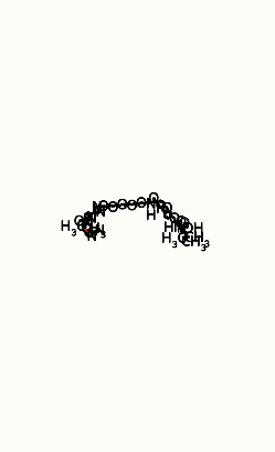 CC(C)(C)CC[C@H](NC(=O)COc1cccc(Oc2ccc(C(=O)NCCOCCOCCOCCOCCOc3ncc(-c4ccc5c(n4)N(Cc4cccnc4C#N)C(C)(C)C5=O)cn3)cn2)c1)C(=O)O